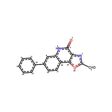 O=Cc1nc2c(=O)[nH]c3cc(-c4ccccc4)ccc3c2o1